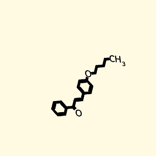 CCCCCOc1ccc(C=CC(=O)c2ccccc2)cc1